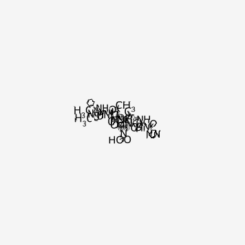 C=C(C)C[C@H](NC(=O)CNC(=O)c1cnccn1)C(=O)N[C@H]1CN(C(=O)O)C[C@H]1C(=O)N[C@@H](CCC)C(=O)C(=O)NCC(=O)N[C@H](C(=O)N(C)C)c1ccccc1